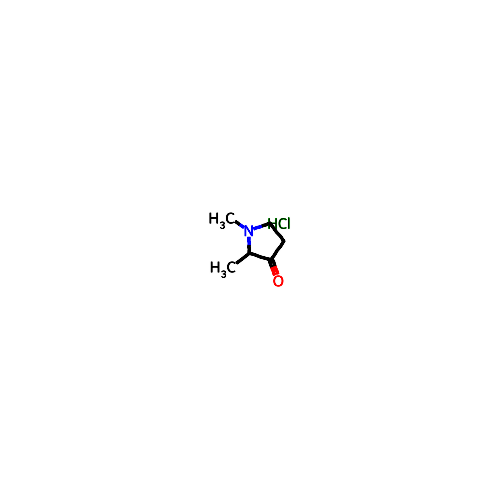 CC1C(=O)CCN1C.Cl